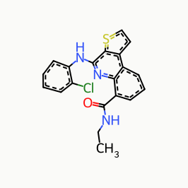 CCNC(=O)c1cccc2c1nc(Nc1ccccc1Cl)c1sccc12